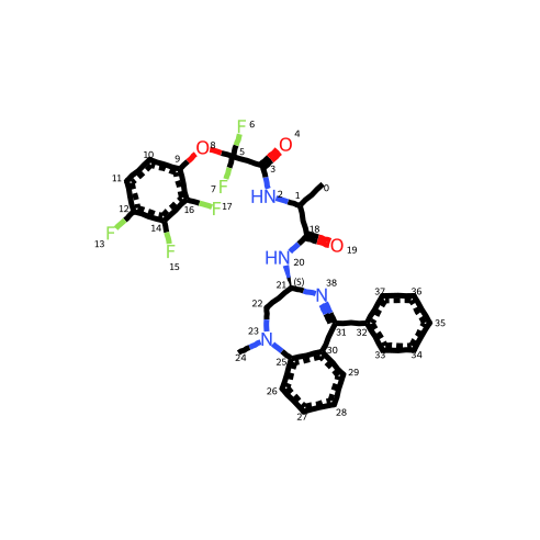 CC(NC(=O)C(F)(F)Oc1ccc(F)c(F)c1F)C(=O)N[C@@H]1CN(C)c2ccccc2C(c2ccccc2)=N1